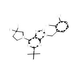 CC(C)(C)c1nc(N2CCC(F)(F)C2)c2nnn(Cc3cccc(Cl)c3Cl)c2n1